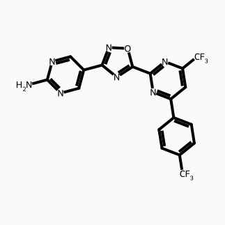 Nc1ncc(-c2noc(-c3nc(-c4ccc(C(F)(F)F)cc4)cc(C(F)(F)F)n3)n2)cn1